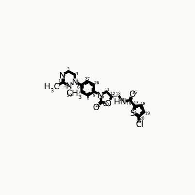 CC1=NCCN(c2ccc(N3C[C@H](CNC(=O)c4ccc(Cl)s4)OC3=O)cc2)N1C